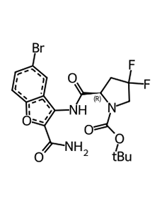 CC(C)(C)OC(=O)N1CC(F)(F)C[C@@H]1C(=O)Nc1c(C(N)=O)oc2ccc(Br)cc12